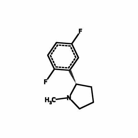 CN1CCC[C@H]1c1cc(F)ccc1F